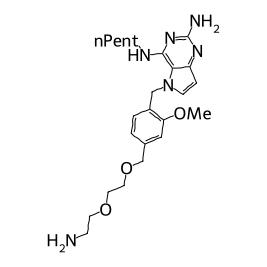 CCCCCNc1nc(N)nc2ccn(Cc3ccc(COCCOCCN)cc3OC)c12